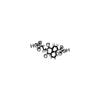 O=C1c2cccc3c(S(=O)(=O)O)ccc(c23)C(=O)N1CCS(=O)(=O)O